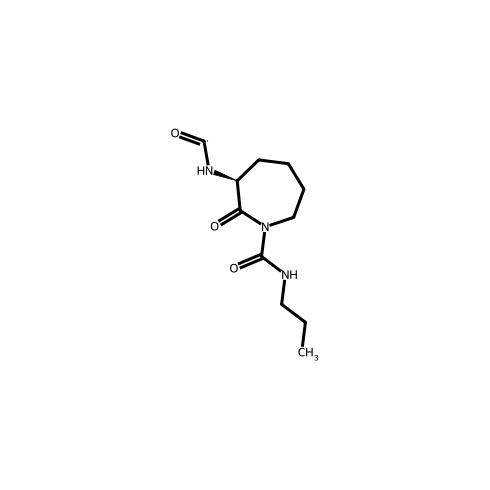 CCCNC(=O)N1CCCC[C@H](N[C]=O)C1=O